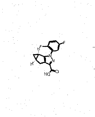 O=C(O)c1nn(-c2cc(F)ccc2F)c2c1C[C@H]1C[C@@H]21